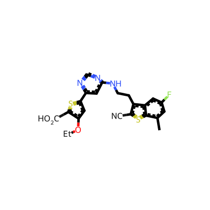 CCOc1cc(-c2cc(NCCc3c(C#N)sc4c(C)cc(F)cc34)ncn2)sc1C(=O)O